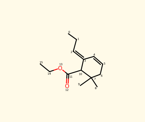 CCC=C1C=CCC(C)(C)C1C(=O)OCC